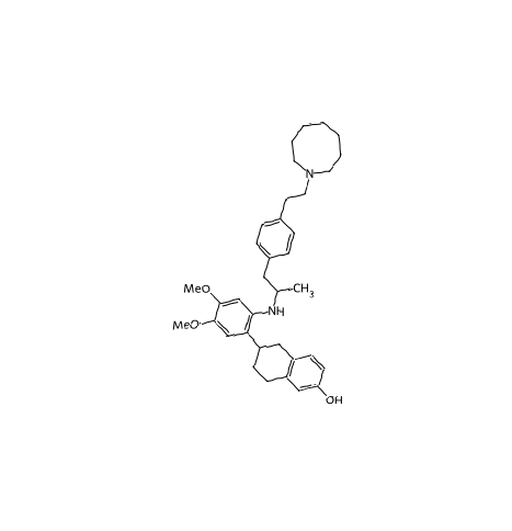 COc1cc(NC(C)Cc2ccc(CCN3CCCCCCC3)cc2)c(C2CCc3cc(O)ccc3C2)cc1OC